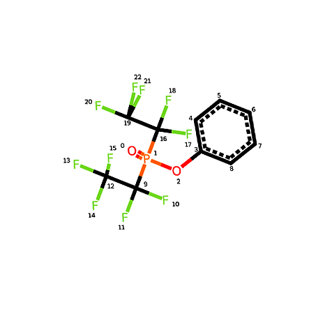 O=P(Oc1ccccc1)(C(F)(F)C(F)(F)F)C(F)(F)C(F)(F)F